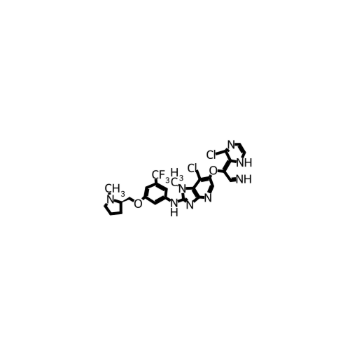 CN1CCC[C@@H]1COc1cc(Nc2nc3ncc(O/C(C=N)=C4/NC=CN=C4Cl)c(Cl)c3n2C)cc(C(F)(F)F)c1